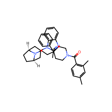 Cc1ccc(C(=O)N2CCC(CCN3[C@@H]4CC[C@H]3CC(n3c(C)nc5ccccc53)C4)(c3ccccc3)CC2)c(C)c1